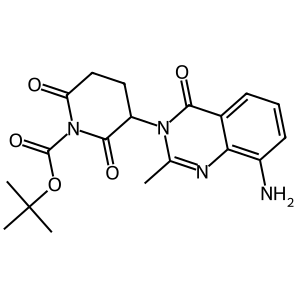 Cc1nc2c(N)cccc2c(=O)n1C1CCC(=O)N(C(=O)OC(C)(C)C)C1=O